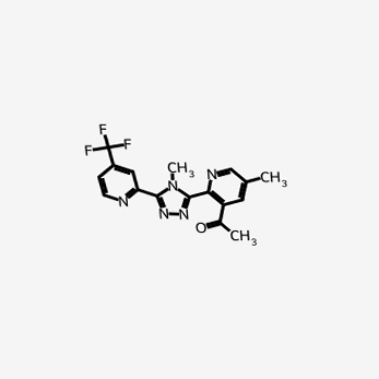 CC(=O)c1cc(C)cnc1-c1nnc(-c2cc(C(F)(F)F)ccn2)n1C